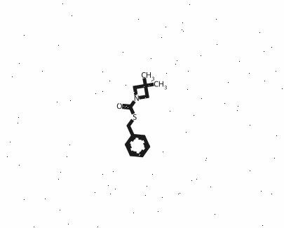 CC1(C)CN(C(=O)SCc2ccccc2)C1